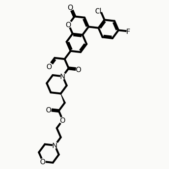 O=CC(C(=O)N1CCC[C@H](CC(=O)OCCN2CCOCC2)C1)c1ccc2c(-c3ccc(F)cc3Cl)cc(=O)oc2c1